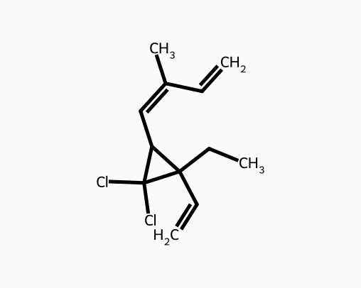 C=CC(C)=CC1C(Cl)(Cl)C1(C=C)CC